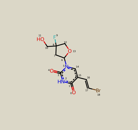 O=c1[nH]c(=O)n(C2CC(F)(CO)CO2)cc1C=CBr